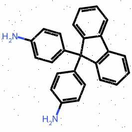 Nc1ccc(C2(c3ccc(N)cc3)c3[c]cccc3-c3ccccc32)cc1